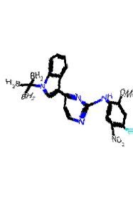 BC(B)(B)n1cc(-c2ccnc(Nc3cc([N+](=O)[O-])c(F)cc3OC)n2)c2ccccc21